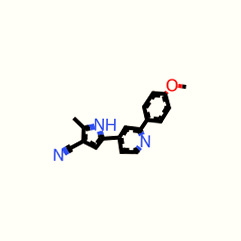 COc1ccc(-c2cc(-c3cc(C#N)c(C)[nH]3)ccn2)cc1